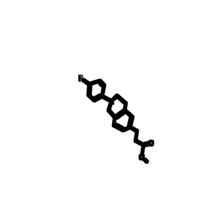 COC(=O)CCc1ccc2c(c1)CCN(c1ccc(F)cc1)C2